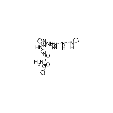 N[C@H](CCC(=O)N1CCC(Nc2nc(NCc3cn(CCCNCCCNC4CCCCC4)nn3)nc3ccccc23)CC1)C(=O)OCc1ccccc1